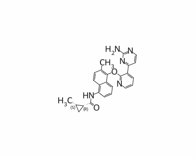 Cc1ccc2c(NC(=O)[C@@H]3C[C@@H]3C)cccc2c1Oc1ncccc1-c1ccnc(N)n1